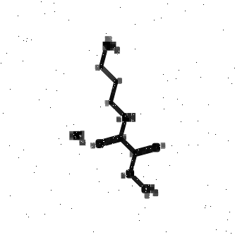 COC(=O)C(=O)NCCCN.Cl